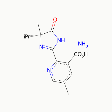 Cc1cnc(C2=N[C@](C)(C(C)C)C(=O)N2)c(C(=O)O)c1.N